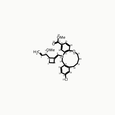 C=C[C@H](OC)[C@@H]1CC/C1=C\N1Cc2ccc(Cl)cc2CCCCOc2ccc(C(=O)OC)cc21